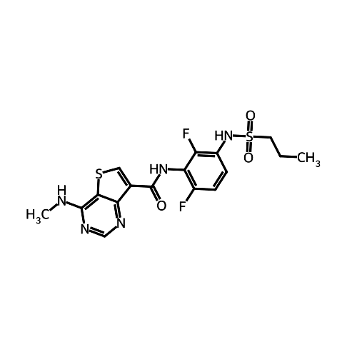 CCCS(=O)(=O)Nc1ccc(F)c(NC(=O)c2csc3c(NC)ncnc23)c1F